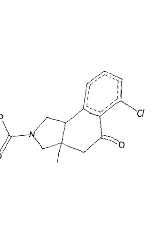 CC12CC(=O)c3c(Cl)cccc3C1CN(C(=O)O)C2